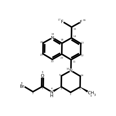 C[C@H]1C[C@@H](NC(=O)CBr)CN(c2ccc(C(F)F)c3ncccc23)C1